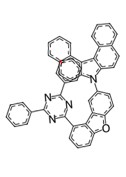 c1ccc(-c2nc(-c3ccccc3)nc(-c3cccc4oc5ccc(-n6c7ccc8ccccc8c7c7c8ccccc8ccc76)cc5c34)n2)cc1